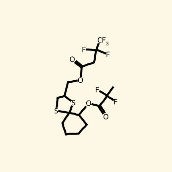 CC(F)(F)C(=O)OC1CCCCC12SCC(COC(=O)CC(F)(F)C(F)(F)F)S2